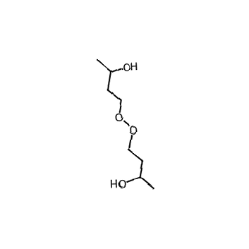 CC(O)CCOOCCC(C)O